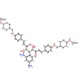 CCCCCCCCOC1CCC(COc2ccc(/C=C/C(=O)C(O)C(c3ccc(N)cc3N)C(O)C(=O)/C=C/c3ccc(OCC4CCC(OCCCCCCCC)CC4)cc3)cc2)CC1